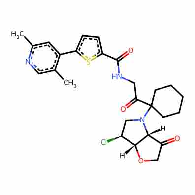 Cc1cc(-c2ccc(C(=O)NCC(=O)C3(N4C[C@H](Cl)[C@H]5OCC(=O)[C@H]54)CCCCC3)s2)c(C)cn1